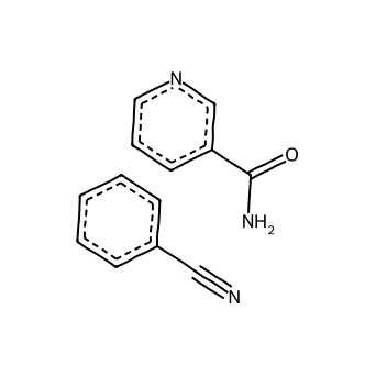 N#Cc1ccccc1.NC(=O)c1cccnc1